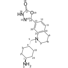 N[C@H]1CC[C@H](CN2CCCc3ccc(-c4n[nH]c(=O)o4)cc32)CC1